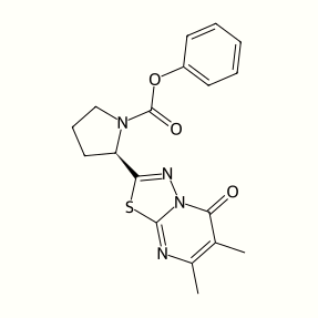 Cc1nc2sc([C@H]3CCCN3C(=O)Oc3ccccc3)nn2c(=O)c1C